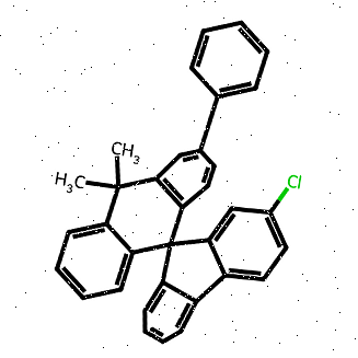 CC1(C)c2ccccc2C2(c3ccccc3-c3ccc(Cl)cc32)c2ccc(-c3ccccc3)cc21